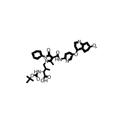 COc1ccc2c(Oc3ccc(NC(=O)c4c(C)n(CC(C)[C@@H](NC(=O)OC(C)(C)C)C(=O)O)n(-c5ccccc5)c4=O)nc3)ccnc2c1